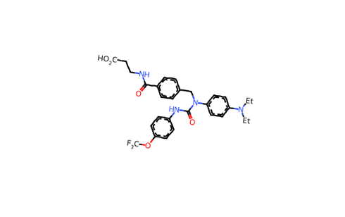 CCN(CC)c1ccc(N(Cc2ccc(C(=O)NCCC(=O)O)cc2)C(=O)Nc2ccc(OC(F)(F)F)cc2)cc1